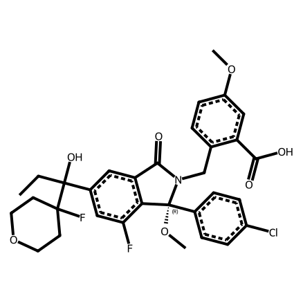 CCC(O)(c1cc(F)c2c(c1)C(=O)N(Cc1ccc(OC)cc1C(=O)O)[C@@]2(OC)c1ccc(Cl)cc1)C1(F)CCOCC1